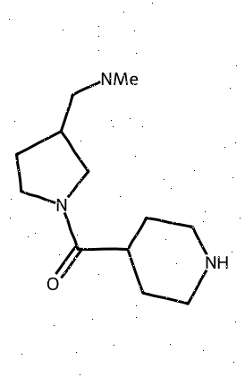 CNCC1CCN(C(=O)C2CCNCC2)C1